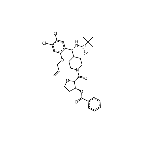 C=CCOc1cc(Cl)c(Cl)cc1[C@H](N[S@@+]([O-])C(C)(C)C)C1CCN(C(=O)[C@@H]2OCC[C@@H]2OC(=O)c2ccccc2)CC1